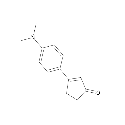 CN(C)c1ccc(C2=CC(=O)CC2)cc1